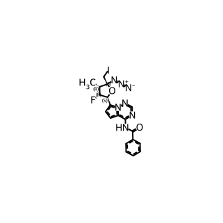 C[C@H]1[C@@H](F)[C@H](c2ccc3c(NC(=O)c4ccccc4)ncnn23)O[C@@]1(CI)N=[N+]=[N-]